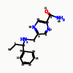 CCC(NCc1cnc(C(N)=O)cn1)c1ccccc1